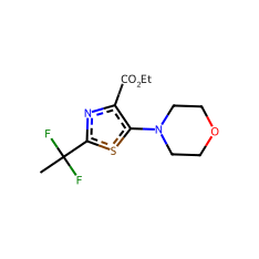 CCOC(=O)c1nc(C(C)(F)F)sc1N1CCOCC1